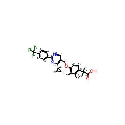 Cc1c(OCc2cnc(-c3ccc(C(F)(F)F)cc3)nc2C2CC2)ccc(C(C)(C)C(=O)O)c1C